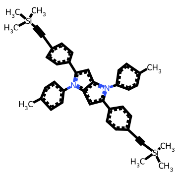 Cc1ccc(-n2c(-c3ccc(C#C[Si](C)(C)C)cc3)cc3c2cc(-c2ccc(C#C[Si](C)(C)C)cc2)n3-c2ccc(C)cc2)cc1